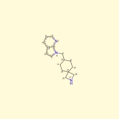 c1cnc2c(c1)ccn2CC1CCC2(CC1)CNC2